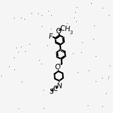 COc1ccc(-c2ccc(CO[C@H]3CC[C@@H](N=C=S)CC3)cc2)cc1F